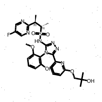 COc1cccc(O)c1-n1c(NS(=O)(=O)[C@@H](C)[C@H](C)c2ncc(F)cn2)nnc1C1=C=C=CC(OCC(C)(C)O)=N1